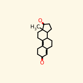 CC12CCC3=C4CCC(=O)C=C4CCC3C1CCC2=O